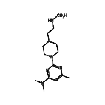 Cc1cc(N(C)C)nc(N2CCC(CCNC(=O)O)CC2)n1